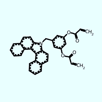 C=CC(=O)Oc1cc(Cn2c3ccc4ccccc4c3c3c4ccccc4ccc32)cc(OC(=O)C=C)c1